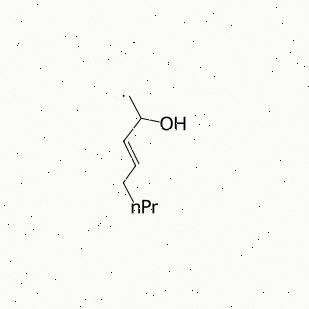 [CH2]C(O)C=CCCCC